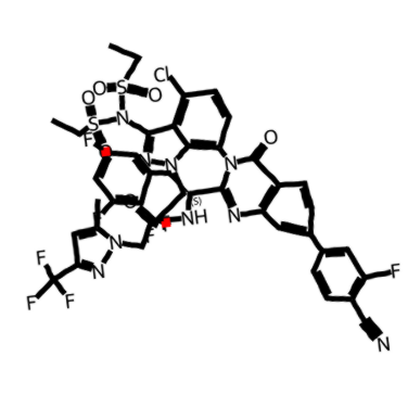 CCS(=O)(=O)N(c1nn(CC(F)(F)F)c2c(-n3c([C@H](Cc4cc(F)cc(F)c4)NC(=O)Cn4nc(C(F)(F)F)cc4C)nc4cc(-c5ccc(C#N)c(F)c5)ccc4c3=O)ccc(Cl)c12)S(=O)(=O)CC